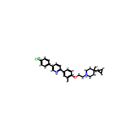 Cc1cc(-c2ccc(-c3ccc(Cl)cc3)cn2)ccc1OCCN1CCC(C)(C2CC2)CC1